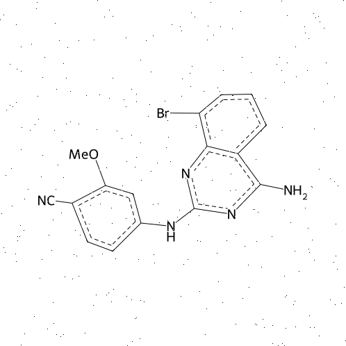 COc1cc(Nc2nc(N)c3cccc(Br)c3n2)ccc1C#N